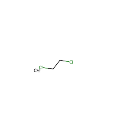 ClCCCl.[CH]